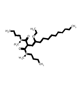 CCCCCCCCCCC(CC(C(=O)N(C)CCCC)C(=O)N(C)CCCC)OCC